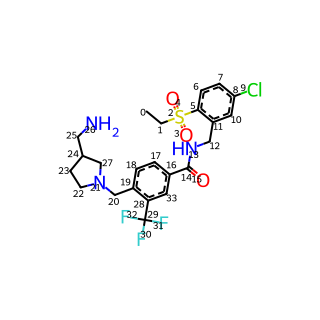 CCS(=O)(=O)c1ccc(Cl)cc1CNC(=O)c1ccc(CN2CCC(CN)C2)c(C(F)(F)F)c1